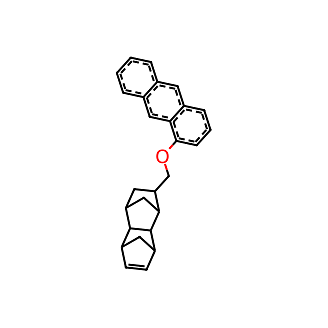 C1=CC2CC1C1C3CC(COc4cccc5cc6ccccc6cc45)C(C3)C21